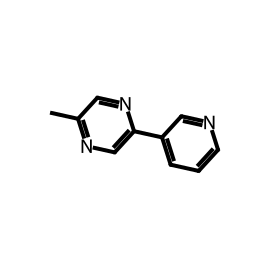 Cc1cnc(-c2cccnc2)cn1